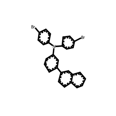 Brc1ccc(N(c2ccc(Br)cc2)c2cccc(-c3ccc4ccccc4c3)c2)cc1